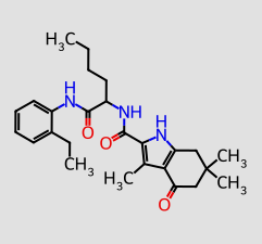 CCCCC(NC(=O)c1[nH]c2c(c1C)C(=O)CC(C)(C)C2)C(=O)Nc1ccccc1CC